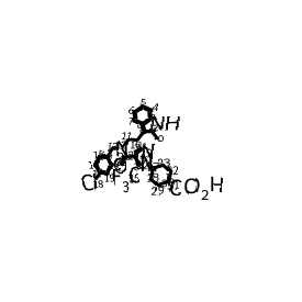 Cc1[nH]c2ccccc2c1CCN(Cc1ccc(Cl)cc1)C(=O)c1cnn(C2CCC(C(=O)O)CC2)c1C(F)(F)F